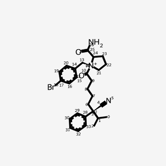 CC(C)[C@@](C#N)(CCCCC(=O)[N@@+]1(Cc2ccc(Br)cc2)CCCC1C(N)=O)c1ccccc1